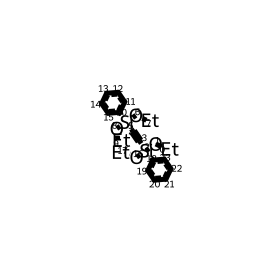 CCO[Si](C#C[Si](OCC)(OCC)c1ccccc1)(OCC)c1ccccc1